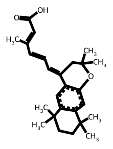 CC(C=CC=C1CC(C)(C)Oc2cc3c(cc21)C(C)(C)CCC3(C)C)=CC(=O)O